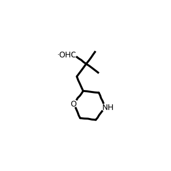 CC(C)([C]=O)CC1CNCCO1